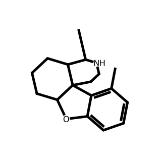 Cc1cccc2c1C13CCNC(C)C1CCCC3O2